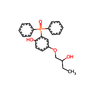 CCC(O)COc1ccc(O)c(P(=O)(c2ccccc2)c2ccccc2)c1